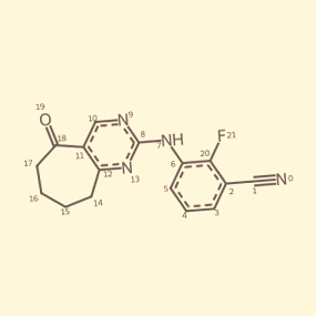 N#Cc1cccc(Nc2ncc3c(n2)CCCCC3=O)c1F